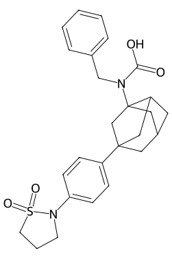 O=C(O)N(Cc1ccccc1)C12CC3CC1CC(c1ccc(N4CCCS4(=O)=O)cc1)(C3)C2